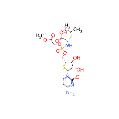 COC(=O)COP(=O)(N[C@@H](CC(C)C)C(=O)O)OC[C@H]1S[C@@H](n2ccc(N)nc2=O)[C@@H](O)[C@@H]1O